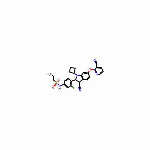 CCCS(=O)(=O)Nc1ccc(C2C(C#N)c3ccc(Oc4ncccc4C#N)cc3N2C2CCC2)c(F)c1